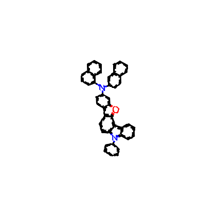 c1ccc(-n2c3ccccc3c3c4oc5cc(N(c6ccc7ccccc7c6)c6cccc7ccccc67)ccc5c4ccc32)cc1